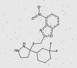 O=[N+]([O-])c1cccc2oc(CSC3(C4CCCC(F)(F)C4)CCNN3)nc12